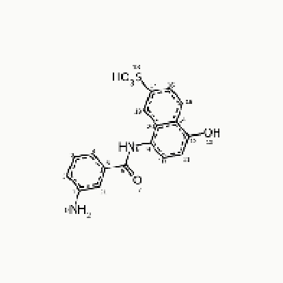 Nc1cccc(C(=O)Nc2ccc(O)c3ccc(S(=O)(=O)O)cc23)c1